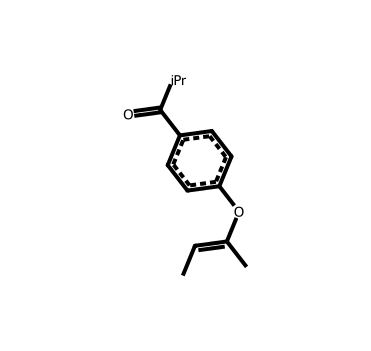 CC=C(C)Oc1ccc(C(=O)C(C)C)cc1